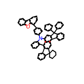 c1ccc(C2(c3ccccc3)c3ccccc3-c3ccc(N(c4ccc(-c5cccc6c5oc5ccccc56)cc4)c4ccccc4-c4cccc5c4-c4ccccc4C54CCCCC4)cc32)cc1